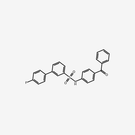 O=C(c1ccccc1)c1ccc(NS(=O)(=O)c2cccc(-c3ccc(F)cc3)c2)cc1